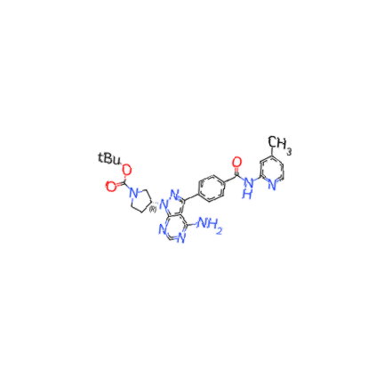 Cc1ccnc(NC(=O)c2ccc(-c3nn([C@@H]4CCN(C(=O)OC(C)(C)C)C4)c4ncnc(N)c34)cc2)c1